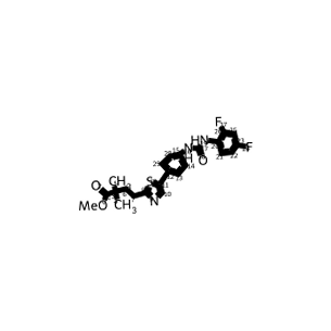 COC(=O)C(C)(C)CCc1ncc(-c2ccc(NC(=O)Nc3ccc(F)cc3F)cc2)s1